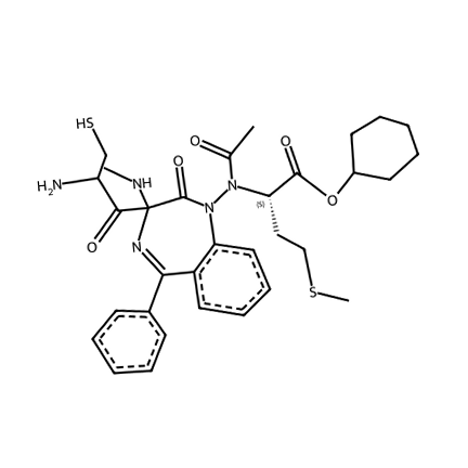 CNC1(C(=O)C(N)CS)N=C(c2ccccc2)c2ccccc2N(N(C(C)=O)[C@@H](CCSC)C(=O)OC2CCCCC2)C1=O